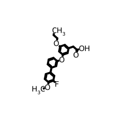 CCCOc1cc(CC(=O)O)cc(Oc2cccc(-c3ccc(OC)c(F)c3)c2)c1